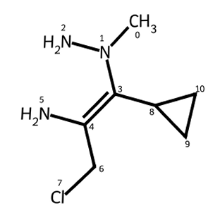 CN(N)/C(=C(\N)CCl)C1CC1